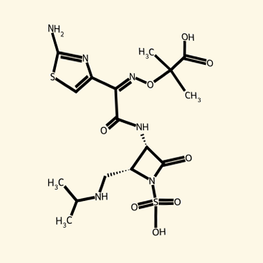 CC(C)NC[C@@H]1[C@H](NC(=O)/C(=N\OC(C)(C)C(=O)O)c2csc(N)n2)C(=O)N1S(=O)(=O)O